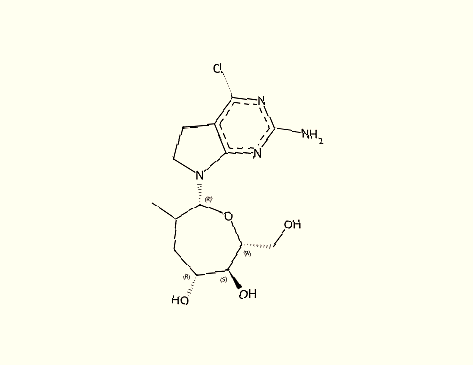 CC1C[C@@H](O)[C@H](O)[C@@H](CO)O[C@H]1N1CCc2c(Cl)nc(N)nc21